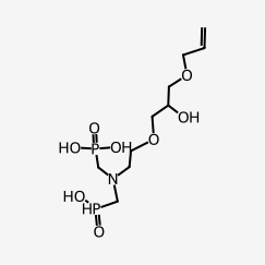 C=CCOCC(O)COCCN(C[PH](=O)O)CP(=O)(O)O